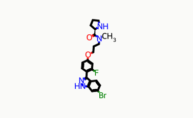 CN(CCCOc1ccc(-c2n[nH]c3cc(Br)ccc23)c(F)c1)C(=O)[C@H]1CCCN1